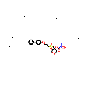 O=C(NO)OC1(CS(=O)(=O)CCCOc2ccc(-c3ccccc3)cc2)CCOCC1